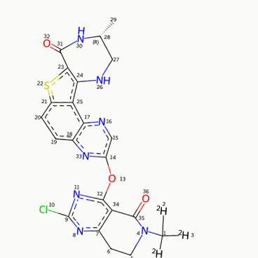 [2H]C([2H])([2H])N1CCc2nc(Cl)nc(Oc3cnc4c(ccc5sc6c(c54)NC[C@@H](C)NC6=O)n3)c2C1=O